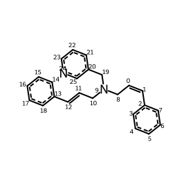 C(=C/c1ccccc1)/CN(C/C=C/c1ccccc1)Cc1cccnc1